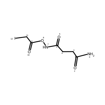 NC(=O)CCC(=O)NOC(=O)CI